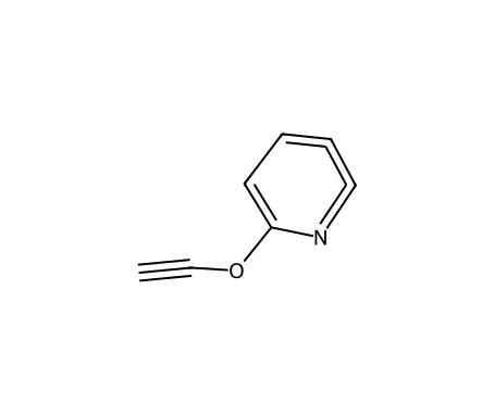 C#COC1=CC=C=C=N1